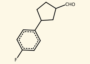 O=CC1CCC(c2ccc(F)cc2)C1